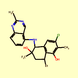 CCC1CC(O)(C(F)(F)F)C(Nc2cccc3nc(C)ncc23)c2cc(Cl)c(C)c(O)c21